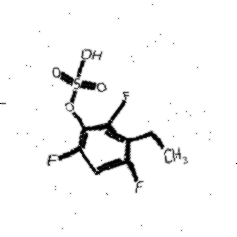 CCc1c(F)cc(F)c(OS(=O)(=O)O)c1F